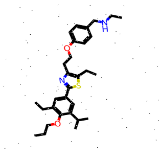 CCCOc1c(CC)cc(-c2nc(CCOc3ccc(CNCC)cc3)c(CC)s2)cc1C(C)C